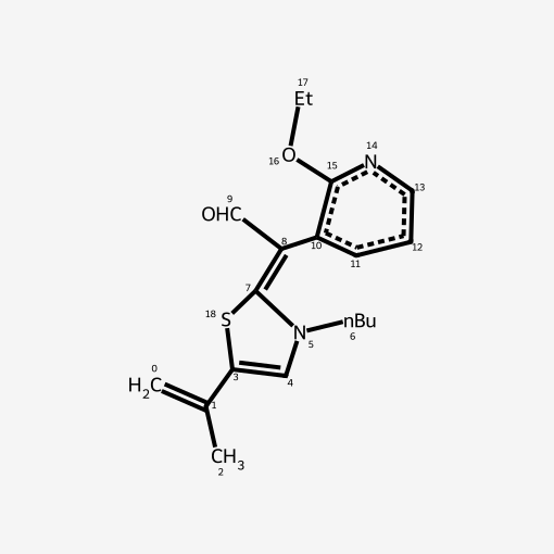 C=C(C)C1=CN(CCCC)C(=C(C=O)c2cccnc2OCC)S1